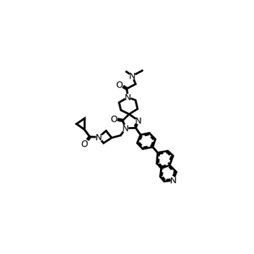 CN(C)CC(=O)N1CCC2(CC1)N=C(c1ccc(-c3ccc4cnccc4c3)cc1)N(CC1CN(C(=O)C3CC3)C1)C2=O